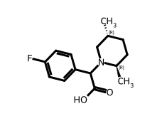 C[C@@H]1CC[C@@H](C)N(C(C(=O)O)c2ccc(F)cc2)C1